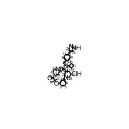 CC(C)(Oc1cccc(N2CCC[C@H](C(=O)N(Cc3ccc(-c4cn[nH]c4)cc3)C3CCC3)C2)c1)C(=O)N1CCNCC1.Cl